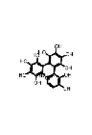 Oc1ccc(O)c(-c2c(O)c(O)c(O)c(O)c2-c2c(O)c(O)c(O)c(O)c2O)c1O